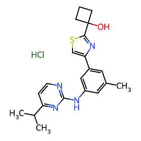 Cc1cc(Nc2nccc(C(C)C)n2)cc(-c2csc(C3(O)CCC3)n2)c1.Cl